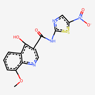 COc1cccc2c(O)c(C(=O)Nc3ncc([N+](=O)[O-])s3)cnc12